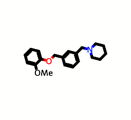 COc1ccccc1OCc1cccc(CN2CCCCC2)c1